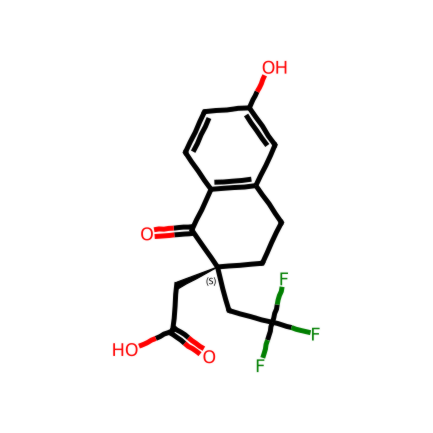 O=C(O)C[C@]1(CC(F)(F)F)CCc2cc(O)ccc2C1=O